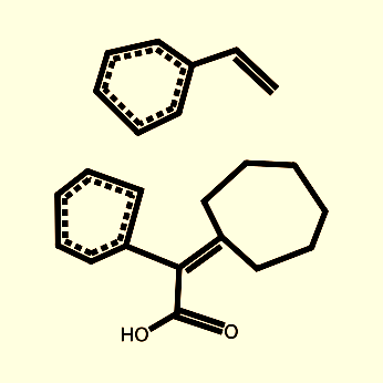 C=Cc1ccccc1.O=C(O)C(=C1CCCCCC1)c1ccccc1